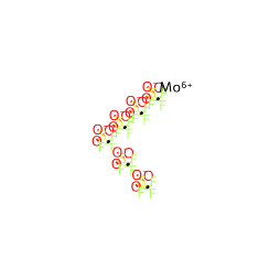 O=S(=O)([O-])C(F)(F)F.O=S(=O)([O-])C(F)(F)F.O=S(=O)([O-])C(F)(F)F.O=S(=O)([O-])C(F)(F)F.O=S(=O)([O-])C(F)(F)F.O=S(=O)([O-])C(F)(F)F.[Mo+6]